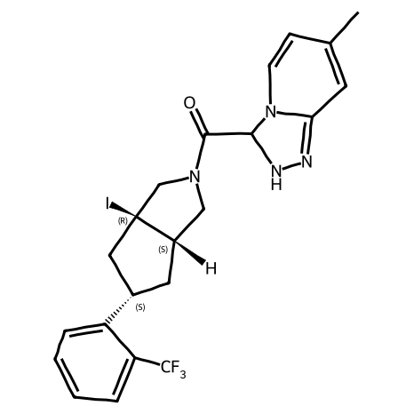 CC1=CC2=NNC(C(=O)N3C[C@@H]4C[C@H](c5ccccc5C(F)(F)F)C[C@]4(I)C3)N2C=C1